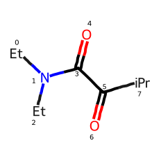 CCN(CC)C(=O)C(=O)C(C)C